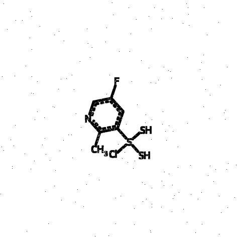 Cc1ncc(F)cc1S(S)(S)Cl